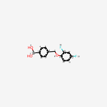 OB(O)c1ccc(COc2ccc(F)cc2F)cc1